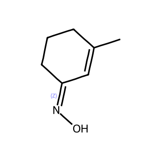 CC1=C/C(=N\O)CCC1